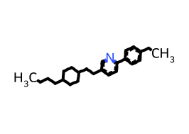 CCCCC1CCC(CCc2ccc(-c3ccc(CC)cc3)nc2)CC1